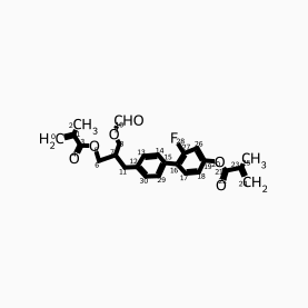 C=C(C)C(=O)OCC(COC=O)Cc1ccc(-c2ccc(OC(=O)C(=C)C)cc2F)cc1